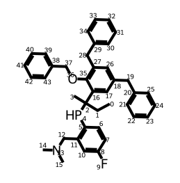 CCC(C)(Pc1ccc(F)cc1CN(C)C)c1cc(Cc2ccccc2)cc(Cc2ccccc2)c1OCc1ccccc1